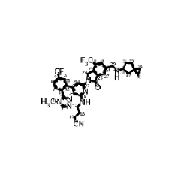 Cn1cnnc1-c1ccc(C(F)(F)F)cc1-c1cc(NCCCC#N)nc(N2Cc3c(cc(CNC4CCC5(CC5)C4)cc3C(F)(F)F)C2=O)c1